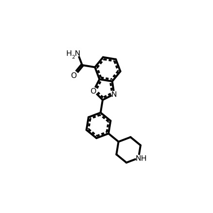 NC(=O)c1cccc2nc(-c3cccc(C4CCNCC4)c3)oc12